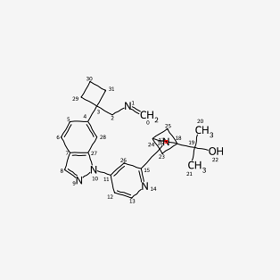 C=NCC1(c2ccc3cnn(-c4ccnc(N5CC6(C(C)(C)O)CC5C6)c4)c3c2)CCC1